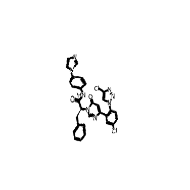 O=C(Nc1ccc(-n2ccnc2)cc1)[C@H](Cc1ccccc1)n1cnc(-c2cc(Cl)ccc2-n2cc(Cl)nn2)cc1=O